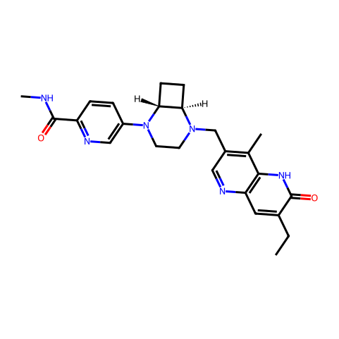 CCc1cc2ncc(CN3CCN(c4ccc(C(=O)NC)nc4)[C@@H]4CC[C@H]43)c(C)c2[nH]c1=O